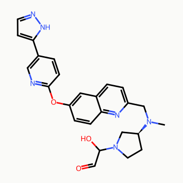 CN(Cc1ccc2cc(Oc3ccc(-c4ccn[nH]4)cn3)ccc2n1)[C@H]1CCN(C(O)C=O)C1